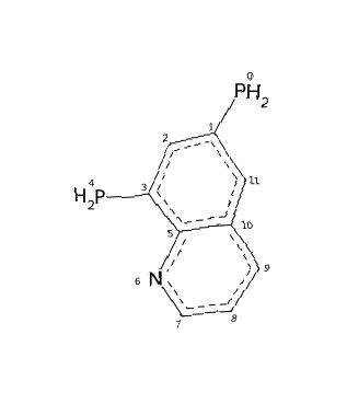 Pc1cc(P)c2ncccc2c1